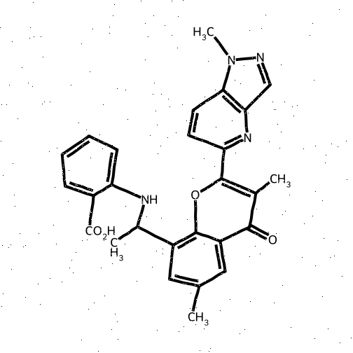 Cc1cc(C(C)Nc2ccccc2C(=O)O)c2oc(-c3ccc4c(cnn4C)n3)c(C)c(=O)c2c1